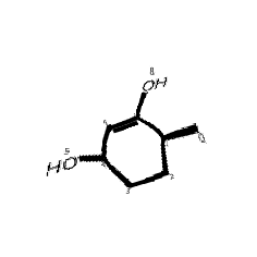 CC1CCC(O)C=C1O